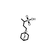 CC(CC[N+]12CCC(CC1)CC2)S(=O)(=O)O